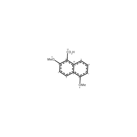 COc1ccc2c(OC)cccc2c1C(=O)O